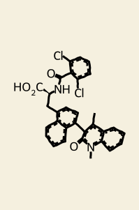 Cc1c(-c2ccc(C[C@H](NC(=O)c3c(Cl)cccc3Cl)C(=O)O)c3ccccc23)c(=O)n(C)c2ccccc12